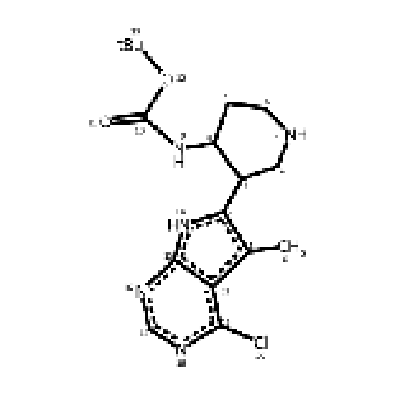 Cc1c(C2CNCCC2NC(=O)OC(C)(C)C)[nH]c2ncnc(Cl)c12